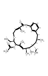 C/C1=C\CC[C@H](CO)[C@@H](OC(N)=O)/C(C)=C/[C@H](C)[C@@H](O)[C@@H](CO)C[C@H](C)Cc2cccc(c2)NC1=O